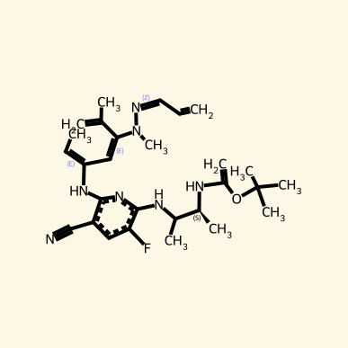 C=C/C=N\N(C)/C(=C/C(=C\C)Nc1nc(NC(C)[C@H](C)NC(=C)OC(C)(C)C)c(F)cc1C#N)C(=C)C